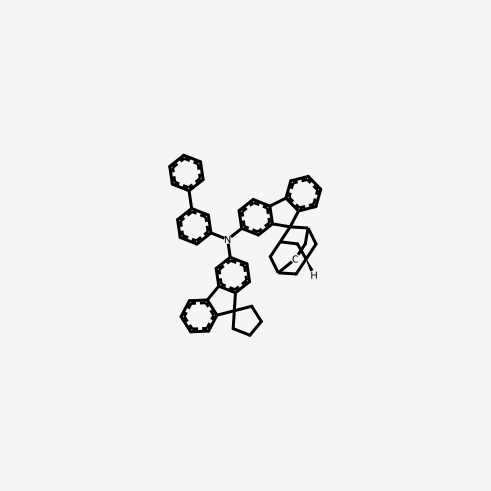 c1ccc(-c2cccc(N(c3ccc4c(c3)-c3ccccc3C43CCCC3)c3ccc4c(c3)C3(c5ccccc5-4)C4CCC5CC3C[C@@H](C5)C4)c2)cc1